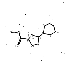 COC(=O)[C@@H]1CCC(C2CCCCC2)N1